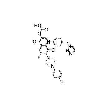 O=C(O)Oc1cn(-c2ccc(Cn3ccnn3)cc2)c2c(Cl)c(N3CCN(c4ccc(F)cc4)CC3)c(F)cc2c1=O